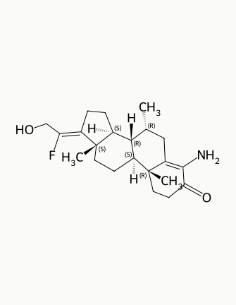 C[C@@H]1CC2=C(N)C(=O)CC[C@]2(C)[C@H]2CC[C@]3(C)C(=C(F)CO)CC[C@H]3[C@H]12